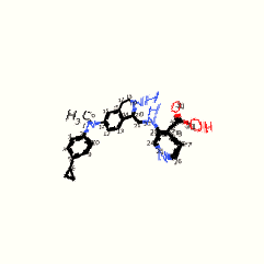 CN(c1ccc(C2CC2)cc1)c1ccc2c(c1)CCNC2CNc1cnccc1C(=O)O